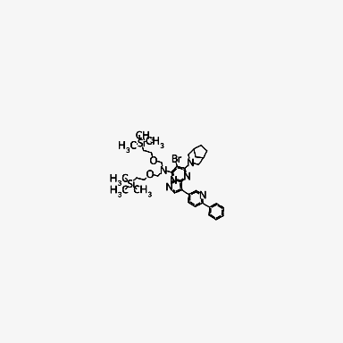 C[Si](C)(C)CCOCN(COCC[Si](C)(C)C)c1c(Br)c(N2CC3CCC(C3)C2)nc2c(-c3ccc(-c4ccccc4)nc3)cnn12